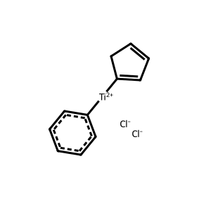 C1=CC[C]([Ti+2][c]2ccccc2)=C1.[Cl-].[Cl-]